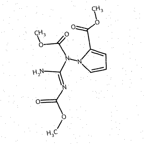 COC(=O)N=C(N)N(C(=O)OC)n1cccc1C(=O)OC